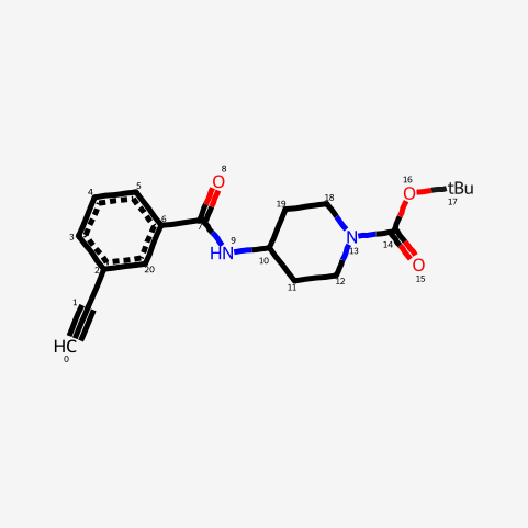 C#Cc1cccc(C(=O)NC2CCN(C(=O)OC(C)(C)C)CC2)c1